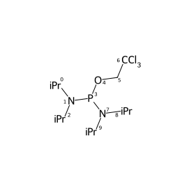 CC(C)N(C(C)C)P(OCC(Cl)(Cl)Cl)N(C(C)C)C(C)C